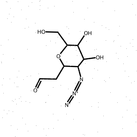 [N-]=[N+]=NC1C(CC=O)OC(CO)C(O)C1O